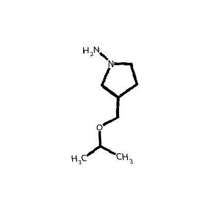 CC(C)OCC1CCN(N)C1